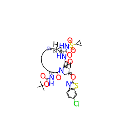 CC(C)(C)OC(=O)N[C@H]1CCCCC/C=C\[C@@H]2C[C@@]2(C(=O)NS(=O)(=O)C2CC2)NC(=O)[C@@H]2C[C@@H](Oc3nc4ccc(Cl)cc4s3)CN2C1=O